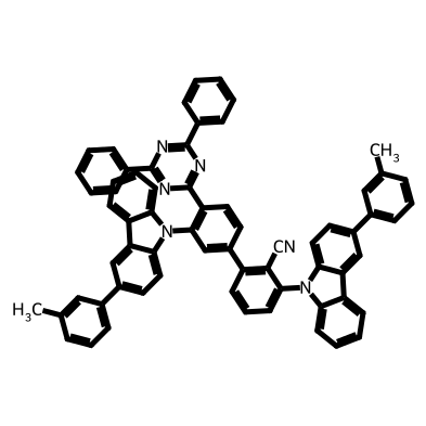 Cc1cccc(-c2ccc3c(c2)c2ccccc2n3-c2cc(-c3cccc(-n4c5ccccc5c5cc(-c6cccc(C)c6)ccc54)c3C#N)ccc2-c2nc(-c3ccccc3)nc(-c3ccccc3)n2)c1